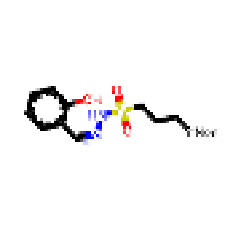 CCCCCCCCCCCCS(=O)(=O)N/N=C\c1ccccc1O